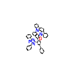 c1ccc(-c2cc(-c3nc(-c4ccccc4)nc(-c4ccccc4)n3)c3c(c2)oc2c(-n4c5ccccc5c5ccc6c7ccccc7n(-c7ccccc7)c6c54)cccc23)cc1